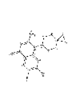 Cc1cc(=O)c2cc(F)c(Br)cc2n1C1CCC2(CC1)CC2